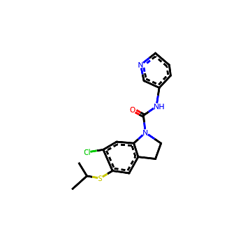 CC(C)Sc1cc2c(cc1Cl)N(C(=O)Nc1cccnc1)CC2